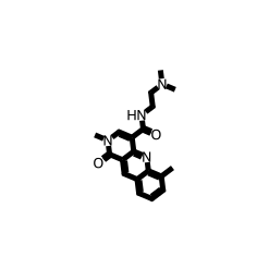 Cc1cccc2cc3c(=O)n(C)cc(C(=O)NCCN(C)C)c3nc12